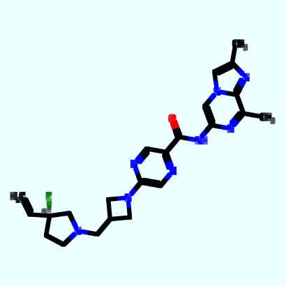 C=C[C@]1(F)CCN(CC2CN(c3cnc(C(=O)Nc4cn5cc(C)nc5c(C)n4)cn3)C2)C1